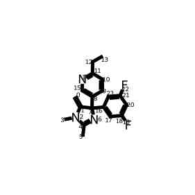 C=C1N(C)C(C)=NC1(c1ccc(CC)nc1)c1cc(F)cc(F)c1